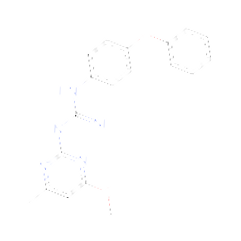 COc1cc(C)nc(NC(=N)Nc2ccc(Oc3ccccc3)cc2)n1